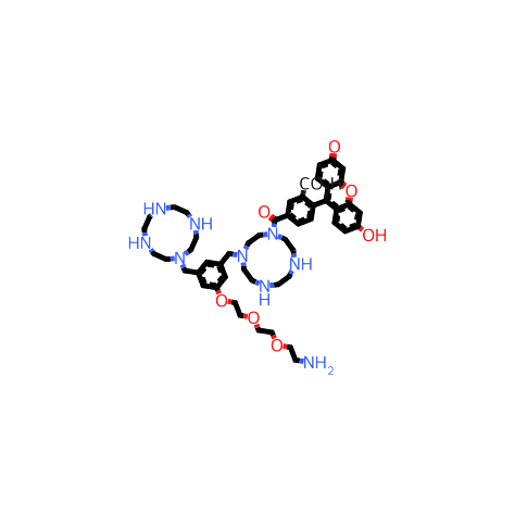 NCCOCCOCCOc1cc(CN2CCNCCNCCNCC2)cc(CN2CCNCCNCCN(C(=O)c3ccc(-c4c5ccc(=O)cc-5oc5cc(O)ccc45)c(C(=O)O)c3)CC2)c1